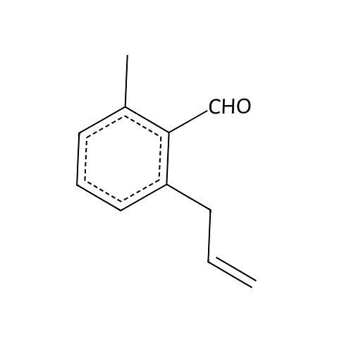 C=CCc1cccc(C)c1C=O